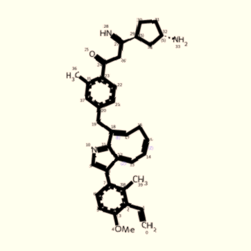 C=Cc1c(OC)ccc(C2=CN=C3/C2=C\C=C/C/C=C/3Cc2ccc(C(=O)CC(=N)[C@H]3CC[C@H](N)C3)c(C)c2)c1C